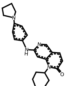 O=c1ccc2cnc(Nc3ccc(N4CCCC4)cc3)cc2n1C1CCCCC1